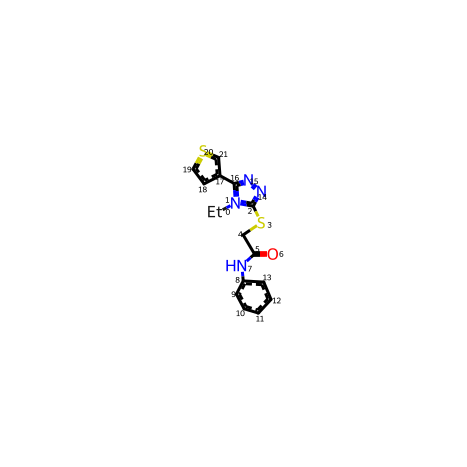 CCn1c(SCC(=O)Nc2ccccc2)nnc1-c1ccsc1